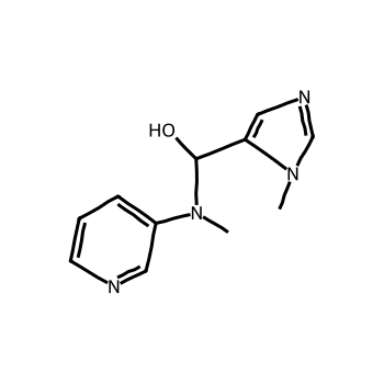 CN(c1cccnc1)C(O)c1cncn1C